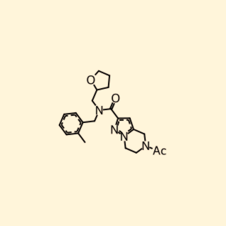 CC(=O)N1CCn2nc(C(=O)N(Cc3ccccc3C)CC3CCCO3)cc2C1